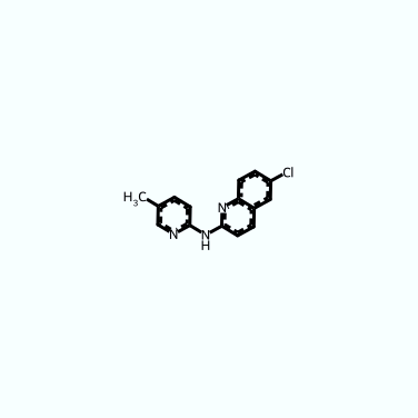 Cc1ccc(Nc2ccc3cc(Cl)ccc3n2)nc1